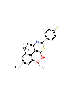 C=C1N=C(c2ccc(F)cc2)SC(O)=C1c1c(C)cc(C)cc1OC